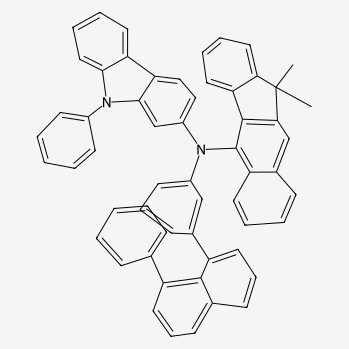 CC1(C)c2ccccc2-c2c1cc1ccccc1c2N(c1cccc(-c2cccc3cccc(-c4ccccc4)c23)c1)c1ccc2c3ccccc3n(-c3ccccc3)c2c1